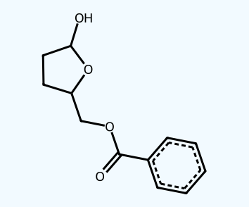 O=C(OCC1CCC(O)O1)c1ccccc1